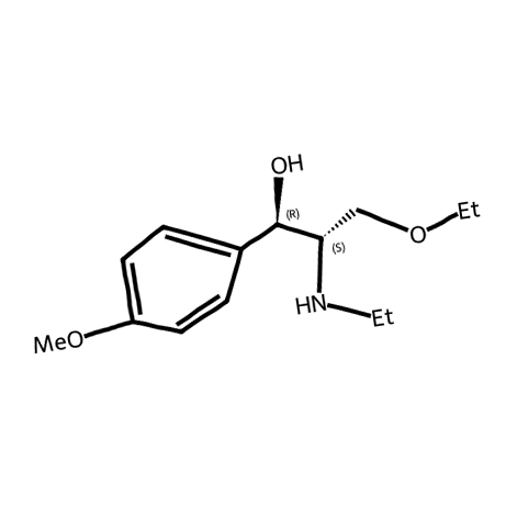 CCN[C@@H](COCC)[C@H](O)c1ccc(OC)cc1